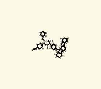 N#Cc1ccc(C(NCc2ccccc2)NC(N)c2ccc(-n3c4ccccc4c4ccc5c6ccccc6oc5c43)cc2)cc1